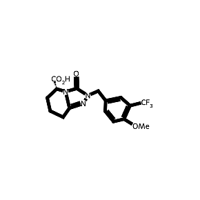 COc1ccc(Cn2nc3n(c2=O)[C@@H](C(=O)O)CCC3)cc1C(F)(F)F